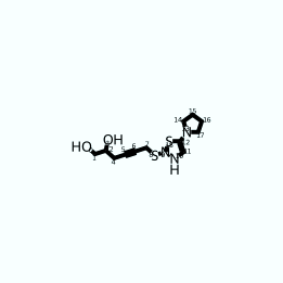 OCC(O)CC#CCSN1NC=C(N2CCCC2)S1